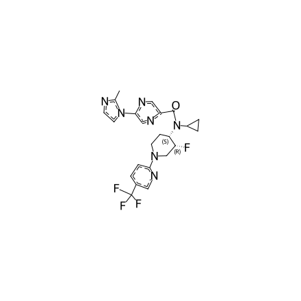 Cc1nccn1-c1cnc(C(=O)N(C2CC2)[C@H]2CCN(c3ccc(C(F)(F)F)cn3)C[C@H]2F)cn1